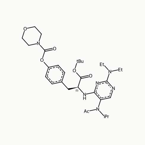 CCN(CC)c1ncc(N(C(C)=O)C(C)C)c(N[C@@H](Cc2ccc(OC(=O)N3CCOCC3)cc2)C(=O)OC(C)(C)C)n1